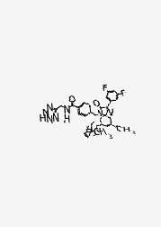 CC1CC(C)CC2(C1)N=C(c1cc(F)cc(F)c1)C(=O)N2[C@H](CCC1(C)CC1)c1ccc(C(=O)NCc2nn[nH]n2)cc1